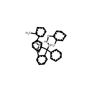 Cc1ccccc1OPOc1ccccc1C(OPOc1ccccc1C)(c1ccccc1)c1ccccc1